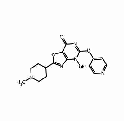 CCCn1c(Oc2ccncc2)nc(=O)c2c1N=C(C1CCN(C)CC1)[N]2